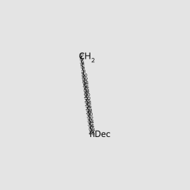 C=CCCCCCCCCCCCCCCCCCCCCCCCCCCCCCCCCCCCCCCCCCCCCCCCC